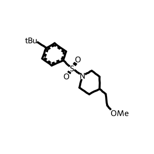 COCCC1CCN(S(=O)(=O)c2ccc(C(C)(C)C)cc2)CC1